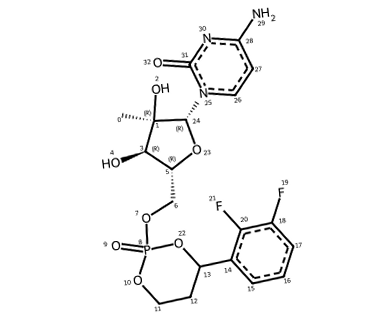 C[C@@]1(O)[C@H](O)[C@@H](COP2(=O)OCCC(c3cccc(F)c3F)O2)O[C@H]1n1ccc(N)nc1=O